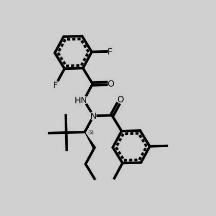 CCC[C@H](N(NC(=O)c1c(F)cccc1F)C(=O)c1cc(C)cc(C)c1)C(C)(C)C